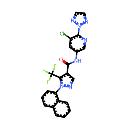 O=C(Nc1cnc(-n2nccn2)c(Cl)c1)c1cnn(-c2cccc3ccccc23)c1C(F)(F)F